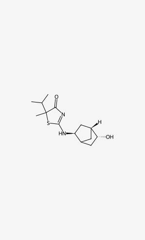 CC(C)C1(C)SC(N[C@H]2C[C@H]3CC2C[C@H]3O)=NC1=O